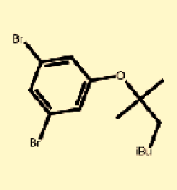 CCC(C)CC(C)(C)Oc1cc(Br)cc(Br)c1